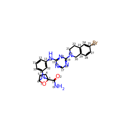 NC(=O)C12CCC(O1)N2c1cccc(Nc2ncnc(N3CCc4cc(Br)ccc4C3)n2)c1